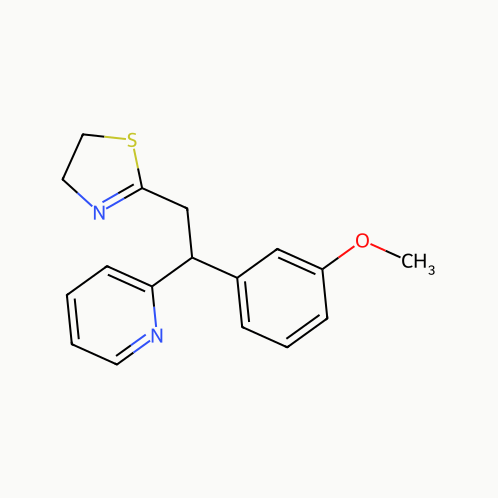 COc1cccc(C(CC2=NCCS2)c2ccccn2)c1